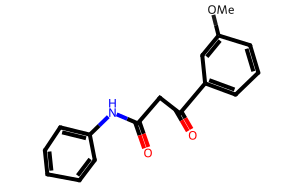 COc1cccc(C(=O)CC(=O)Nc2ccccc2)c1